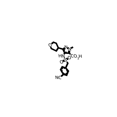 Cn1nc(C2CCOCC2)c(NS(=O)(=O)Cc2ccc(C#N)cc2)c1C(=O)O